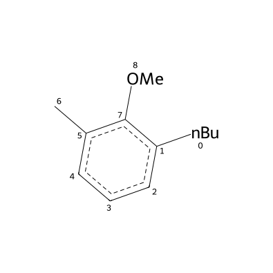 CCCCc1cccc(C)c1OC